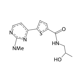 CNc1nccc(-c2ccc(C(=O)NCC(C)O)s2)n1